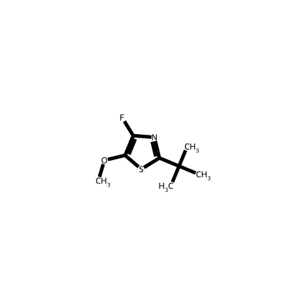 COc1sc(C(C)(C)C)nc1F